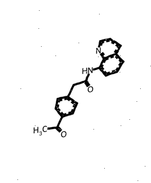 CC(=O)c1ccc(CC(=O)Nc2cccc3cccnc23)cc1